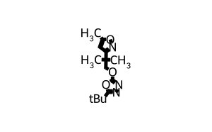 Cc1cc(C(C)(C)COc2nnc(C(C)(C)C)o2)no1